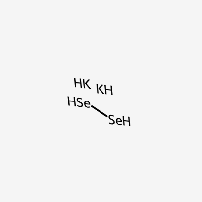 [KH].[KH].[SeH][SeH]